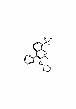 Cc1nc2c(C(F)(F)F)cccc2c(-c2ccccc2)c1OC1CCCC1